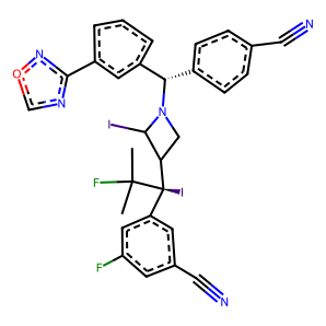 CC(C)(F)[C@@](I)(c1cc(F)cc(C#N)c1)C1CN([C@@H](c2ccc(C#N)cc2)c2cccc(-c3ncon3)c2)C1I